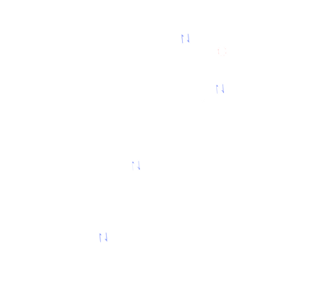 CN1CCN(c2ccc3nonc3c2)CC1